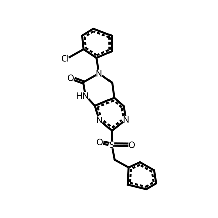 O=C1Nc2nc(S(=O)(=O)Cc3ccccc3)ncc2CN1c1ccccc1Cl